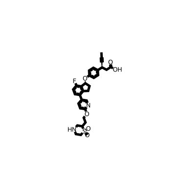 CC#C[C@@H](CC(=O)O)c1ccc(O[C@@H]2CCc3c(-c4ccc(OCCC5CNCCS5(=O)=O)nc4)ccc(F)c32)cc1